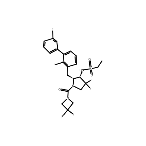 CCS(=O)(=O)N[C@@H]1[C@H](Cc2cccc(-c3cccc(F)c3)c2F)N(C(=O)N2CC(F)(F)C2)CC1(F)F